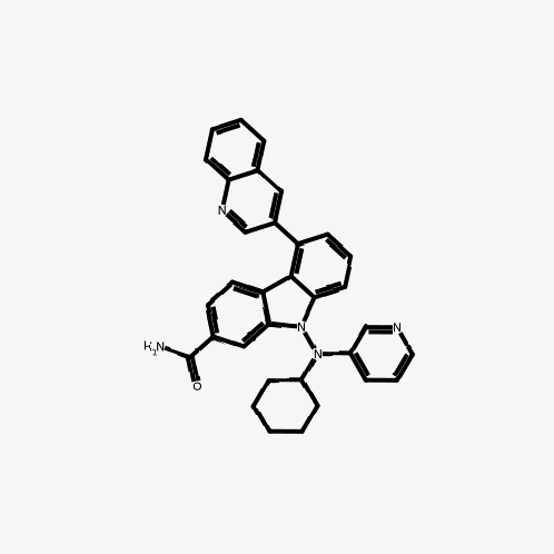 NC(=O)c1ccc2c3c(-c4cnc5ccccc5c4)cccc3n(N([C]3CCCCC3)c3cccnc3)c2c1